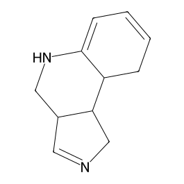 C1=CCC2C(=C1)NCC1C=NCC12